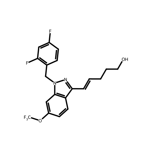 OCCC/C=C/c1nn(Cc2ccc(F)cc2F)c2cc(OC(F)(F)F)ccc12